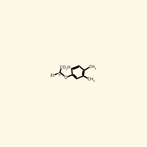 CC[C@H](Oc1ccc(C)c(C)c1)C(=O)O